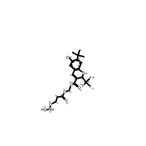 CC(C)(C)c1cc2c(cc1Cl)C=C(C(=O)OCOC(=O)CCONO)C(C(F)(F)F)O2